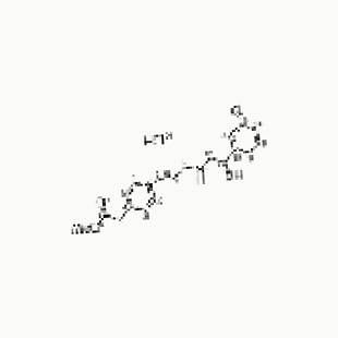 COC(=O)Cc1ccc(OCCNCC(O)c2cccc(Cl)c2)cc1.Cl